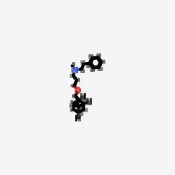 CN(CCCOC[C@H]1CC[C@H]2C[C@@H]1C2(C)C)CCc1ccccc1